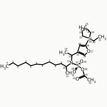 CCCCCCCCCCC(C)N(C(C)c1coc([Si](CC)(CC)CC)c1)S(=O)(=O)OC(C)=O